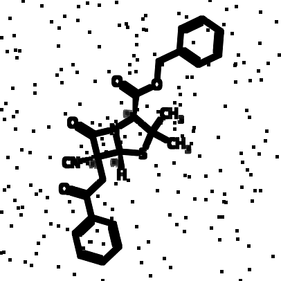 [C-]#[N+][C@]1(CC(=O)c2ccccc2)C(=O)N2[C@@H](C(=O)OCc3ccccc3)C(C)(C)S[C@@H]21